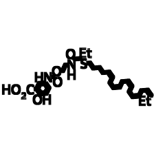 CC/C=C\C/C=C\C/C=C\C/C=C\C/C=C\CCCCS[C@H](CC)C(=O)NCCOC(=O)Nc1ccc(O)c(C(=O)O)c1